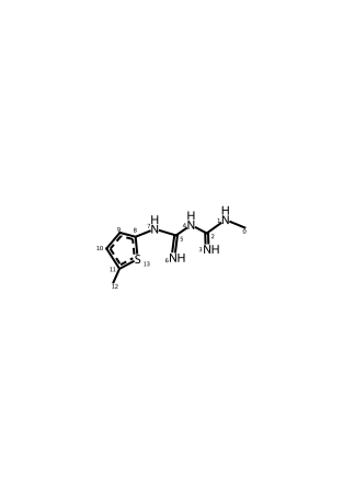 CNC(=N)NC(=N)Nc1ccc(C)s1